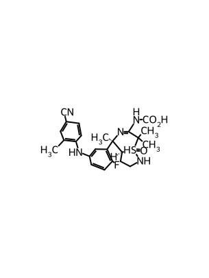 Cc1cc(C#N)ccc1Nc1ccc(F)c([C@@]2(C)N=C(NC(=O)O)C(C)(C)[SH]3(=O)NCC[C@@H]23)c1